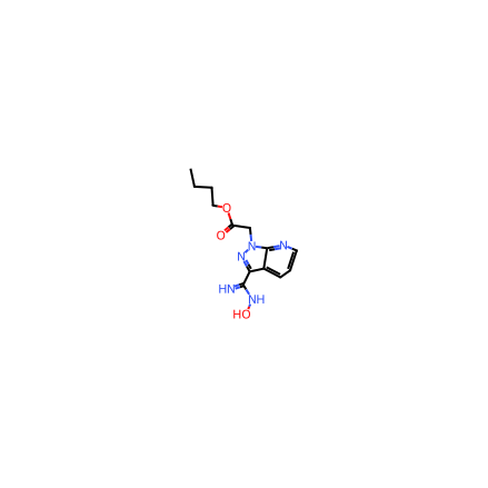 CCCCOC(=O)Cn1nc(C(=N)NO)c2cccnc21